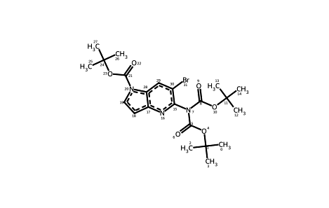 CC(C)(C)OC(=O)N(C(=O)OC(C)(C)C)c1nc2ccn(C(=O)OC(C)(C)C)c2cc1Br